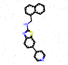 c1ccc2c(CNc3nc4ccc(-c5ccncc5)cc4s3)cccc2c1